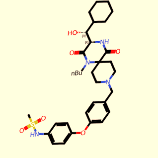 CCCCN1C(=O)[C@@H]([C@H](O)C2CCCCC2)NC(=O)C12CCN(Cc1ccc(Oc3ccc(NS(C)(=O)=O)cc3)cc1)CC2